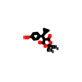 CC1(C)OC(=O)C(C(c2ccc(O)cc2)C2CC2)C(=O)O1